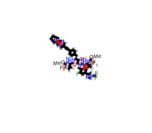 COC(=O)N[C@H](C(=O)N[C@@H](Cc1ccc(C#Cc2cnc(N3CC4CCC(C3)N4C3COC3)nc2)cc1)[C@@H](O)CN(Cc1c(F)cc(-c2cn(C(F)F)cn2)cc1F)NC(=O)[C@@H](NC(=O)OC)C(C)(C)C(F)(F)F)C(C)(C)C(F)(F)F